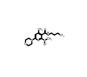 CCN(C)c1nc(N2CCOCC2)cc(C)c1C(=O)NCCCC(F)(F)F